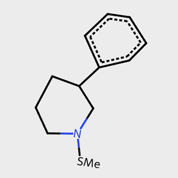 CSN1CCCC(c2ccccc2)C1